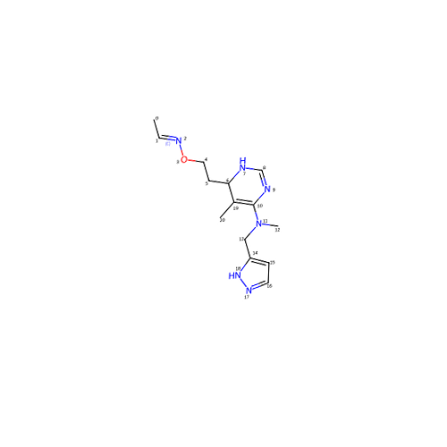 C/C=N/OCCC1NC=NC(N(C)Cc2ccn[nH]2)=C1C